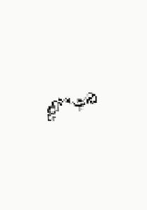 FC(F)(CCCO[C@H]1C[C@H](Oc2ccc(Br)cn2)C1)COC1CCCCO1